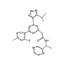 Cc1ccc(-c2cc(OC(=O)NC(C)c3cnccn3)cc(-n3nnnc3C(C)C)c2)c(F)c1